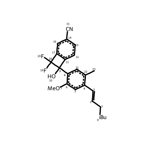 CCC(C)C/C=C/c1cc(OC)c(C2(O)c3ccc(C#N)cc3C2(F)F)cc1C